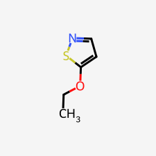 CCOc1ccns1